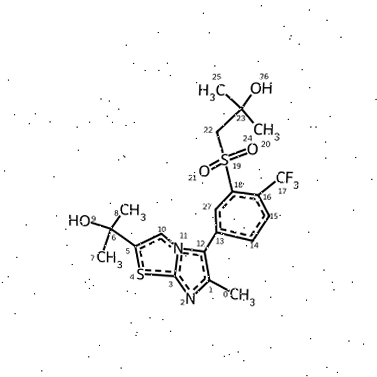 Cc1nc2sc(C(C)(C)O)cn2c1-c1ccc(C(F)(F)F)c(S(=O)(=O)CC(C)(C)O)c1